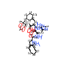 CC1(C)OCO[C@H]1C[C@H](O)[C@H](CC1CCCCC1)NC(=O)[C@H](Cc1c[nH]cn1)NC(=O)c1cc2ccccc2[nH]1